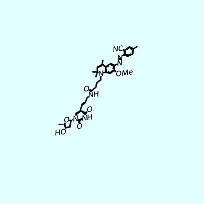 COc1cc2c(cc1/N=N/c1ccc(C)cc1C#N)C(C)=CC(C)(C)N2CCCC(=O)NC/C=C/c1cn([C@H]2C[C@@H](O)[C@@H](C)O2)c(=O)[nH]c1=O